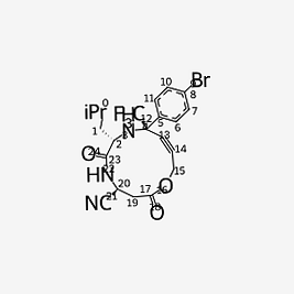 CC(C)C[C@@H]1N[C@@](c2ccc(Br)cc2)(C(F)(F)F)C#CCOC(=O)C[C@@H](C#N)NC1=O